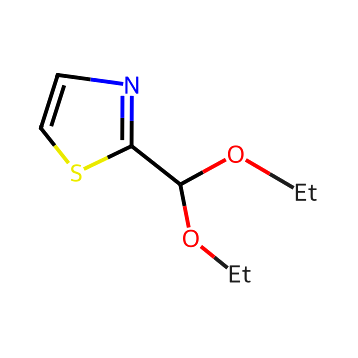 CCOC(OCC)c1nccs1